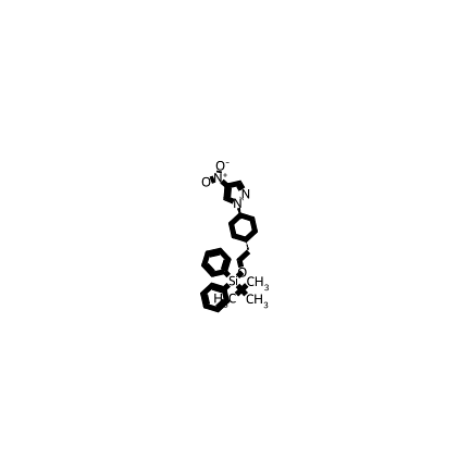 CC(C)(C)[Si](OCC[C@H]1CC[C@H](n2cc([N+](=O)[O-])cn2)CC1)(c1ccccc1)c1ccccc1